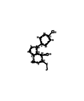 CCn1cnc2ccn(-c3ccc(Cl)cc3)c2c1=O